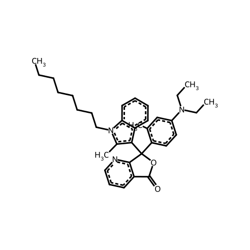 CCCCCCCCn1c(C)c(C2(c3ccc(N(CC)CC)cc3C)OC(=O)c3cccnc32)c2ccccc21